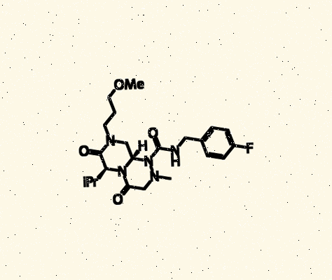 COCCCN1C[C@H]2N(C(=O)CN(C)N2C(=O)NCc2ccc(F)cc2)[C@@H](C(C)C)C1=O